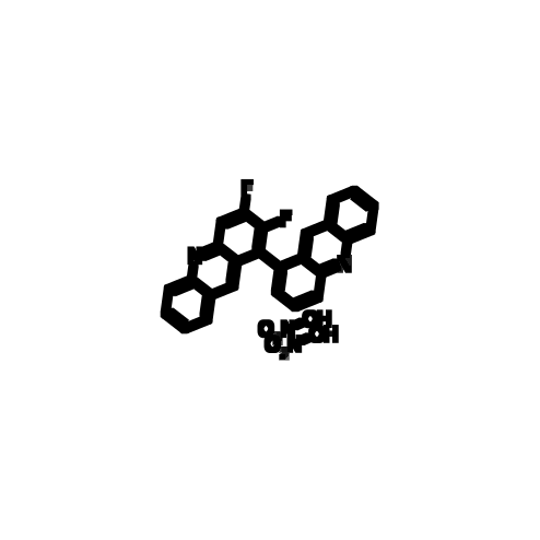 Fc1cc2nc3ccccc3cc2c(-c2cccc3nc4ccccc4cc23)c1F.O=[N+]([O-])O.O=[N+]([O-])O